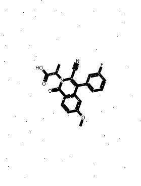 COc1ccc2c(=O)n(C(C)C(=O)O)c(C#N)c(-c3cccc(F)c3)c2c1